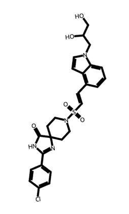 O=C1NC(c2ccc(Cl)cc2)=NC12CCN(S(=O)(=O)C=Cc1cccc3c1ccn3CC(O)CO)CC2